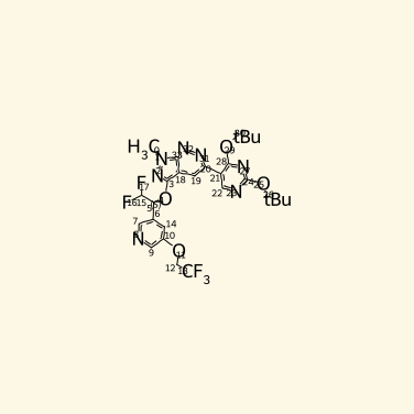 Cn1nc(O[C@@H](c2cncc(OCC(F)(F)F)c2)C(F)F)c2cc(-c3cnc(OC(C)(C)C)nc3OC(C)(C)C)nnc21